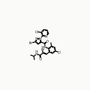 Cc1cc(Cl)cc(C=C(Br)C(=O)NC(C)C)c1NC(=O)c1cc(Br)nn1-c1ncccc1Cl